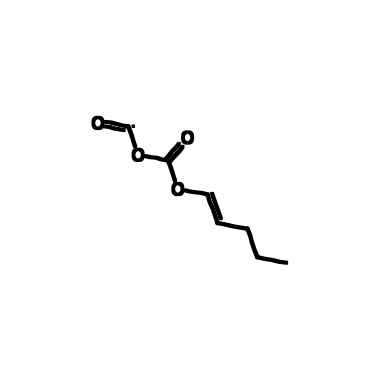 CCCC=COC(=O)O[C]=O